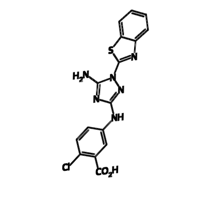 Nc1nc(Nc2ccc(Cl)c(C(=O)O)c2)nn1-c1nc2ccccc2s1